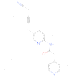 N#CCC#CCc1ccc(NC(=O)Cc2ccncc2)nc1